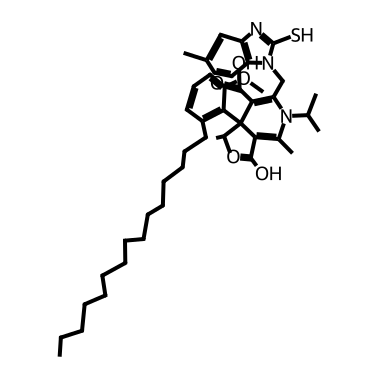 CCCCCCCCCCCCCCCc1cccc(OC)c1C1(C(C)C)C(C(=O)O)=C(C)N(C(C)C)C(Cn2c(S)nc3cc(C)ccc32)=C1C(=O)O